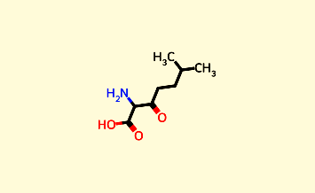 CC(C)CCC(=O)C(N)C(=O)O